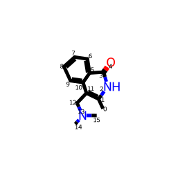 Cc1[nH]c(=O)c2ccccc2c1CN(C)C